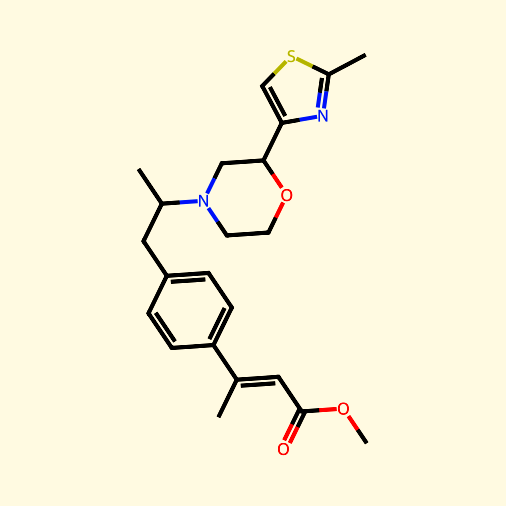 COC(=O)C=C(C)c1ccc(CC(C)N2CCOC(c3csc(C)n3)C2)cc1